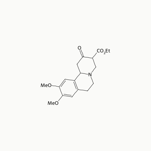 CCOC(=O)C1CN2CCc3cc(OC)c(OC)cc3C2CC1=O